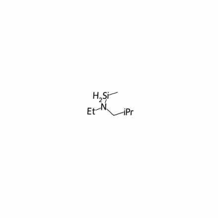 CCN(CC(C)C)[SiH2]C